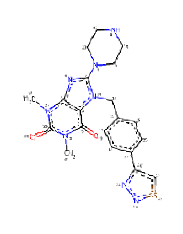 Cn1c(=O)c2c(nc(N3CCNCC3)n2Cc2ccc(-c3csnn3)cc2)n(C)c1=O